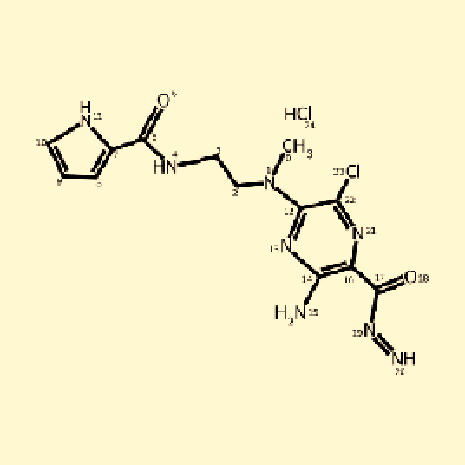 CN(CCNC(=O)c1ccc[nH]1)c1nc(N)c(C(=O)N=N)nc1Cl.Cl